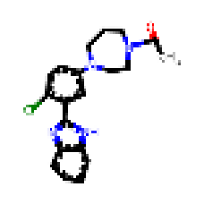 CC(=O)N1CCCN(c2ccc(Cl)c(-c3nc4ccccc4[nH]3)c2)CC1